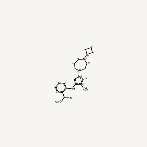 COC(=O)c1ccncc1Nc1cn([C@@H]2CCCN(C3CCC3)CC2)nc1C